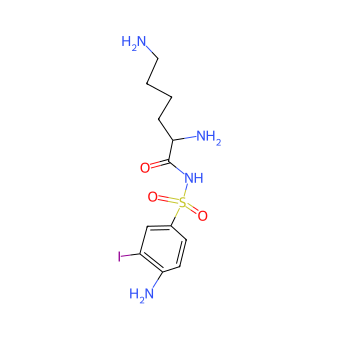 NCCCCC(N)C(=O)NS(=O)(=O)c1ccc(N)c(I)c1